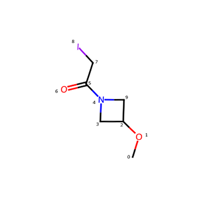 COC1CN(C(=O)CI)C1